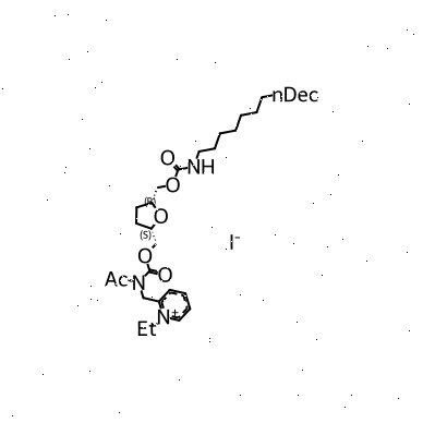 CCCCCCCCCCCCCCCCCNC(=O)OC[C@H]1CC[C@@H](COC(=O)N(Cc2cccc[n+]2CC)C(C)=O)O1.[I-]